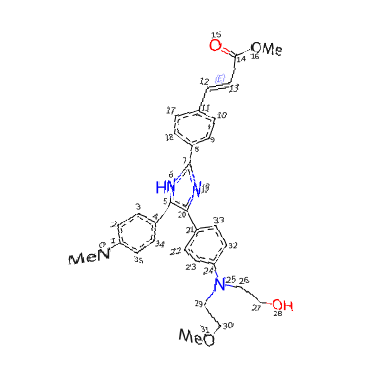 CNc1ccc(-c2[nH]c(-c3ccc(/C=C/C(=O)OC)cc3)nc2-c2ccc(N(CCO)CCOC)cc2)cc1